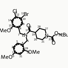 COc1ccc(CN(Cc2cc(Br)c(Cl)cc2OC)C(=O)C2CCN(C(=O)OC(C)(C)C)CC2)c(OC)c1